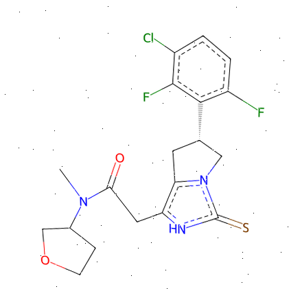 CN(C(=O)Cc1[nH]c(=S)n2c1C[C@H](c1c(F)ccc(Cl)c1F)C2)C1CCOC1